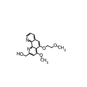 COCCOc1cc2cccnc2c2nc(CO)cc(OC)c12